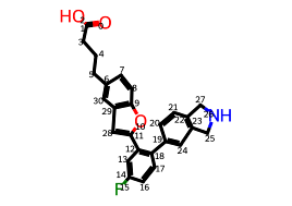 O=C(O)CCCc1ccc2oc(-c3cc(F)ccc3-c3ccc4c(c3)CNC4)cc2c1